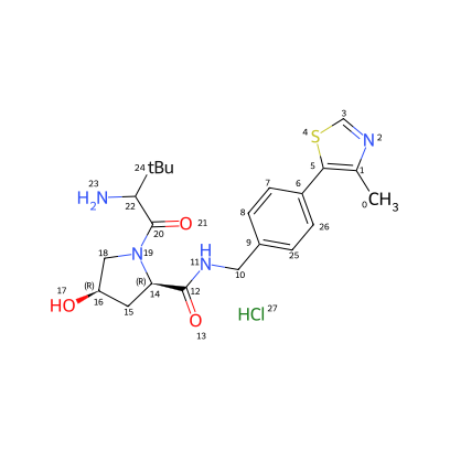 Cc1ncsc1-c1ccc(CNC(=O)[C@H]2C[C@@H](O)CN2C(=O)C(N)C(C)(C)C)cc1.Cl